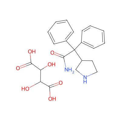 NC(=O)C(c1ccccc1)(c1ccccc1)C1CCNC1.O=C(O)C(O)C(O)C(=O)O